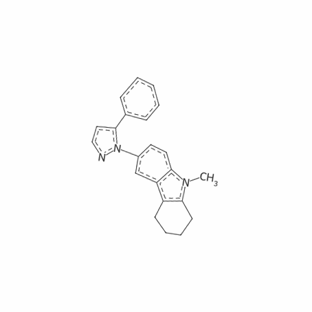 Cn1c2c(c3cc(-n4nccc4-c4ccccc4)ccc31)CCCC2